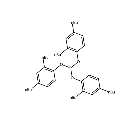 CCCCc1ccc(OP(Oc2ccc(CCCC)cc2CCCC)Oc2ccc(CCCC)cc2CCCC)c(CCCC)c1